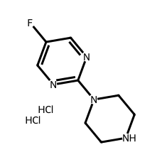 Cl.Cl.Fc1cnc(N2CCNCC2)nc1